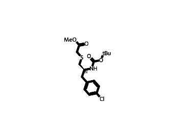 COC(=O)CSC[C@H](Cc1ccc(Cl)cc1)NC(=O)OC(C)(C)C